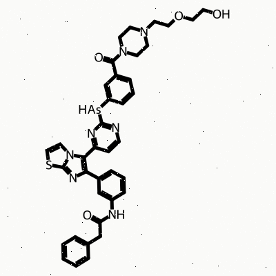 O=C(Cc1ccccc1)Nc1cccc(-c2nc3sccn3c2-c2ccnc([AsH]c3cccc(C(=O)N4CCN(CCOCCO)CC4)c3)n2)c1